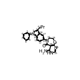 CC(C)c1cn(-c2ccccc2)c2ccc(N3CCOC4=C(C3=O)C(N)NC=N4)cc12